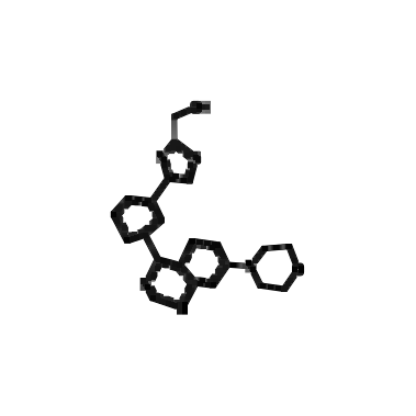 OCc1nc(-c2cccc(-c3ncnc4cc(N5CCOCC5)ccc34)c2)cs1